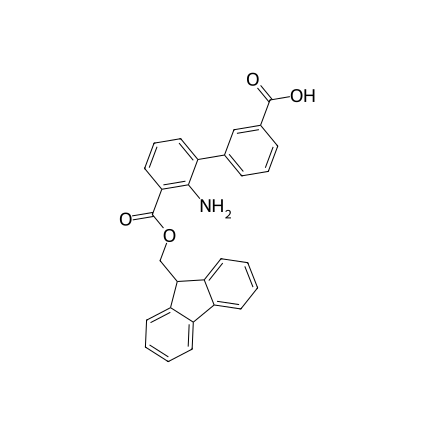 Nc1c(C(=O)OCC2c3ccccc3-c3ccccc32)cccc1-c1cccc(C(=O)O)c1